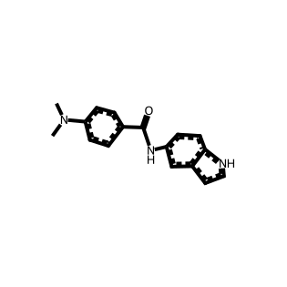 CN(C)c1ccc(C(=O)Nc2ccc3[nH]ccc3c2)cc1